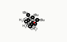 CC(C)(C)c1ccc(N2c3cc4c(cc3B3c5c2cc(C(C)(C)C)cc5N(c2ccc(C(C)(C)C)cc2-c2ccccc2)c2oc5cc6c(cc5c23)C(C)(C)CCC6(C)C)C(C)(C)CCC4(C)C)cc1